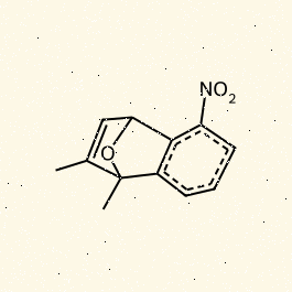 CC1=CC2OC1(C)c1cccc([N+](=O)[O-])c12